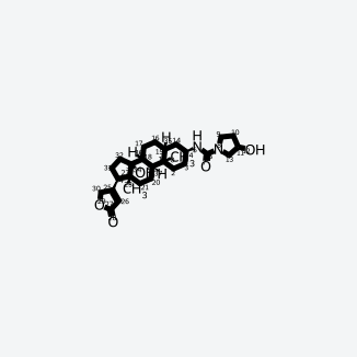 C[C@]12CC[C@H](NC(=O)N3CCC(O)C3)C[C@H]1CC[C@@H]1[C@@H]2CC[C@]2(C)[C@@H](C3=CC(=O)OC3)CC[C@]12O